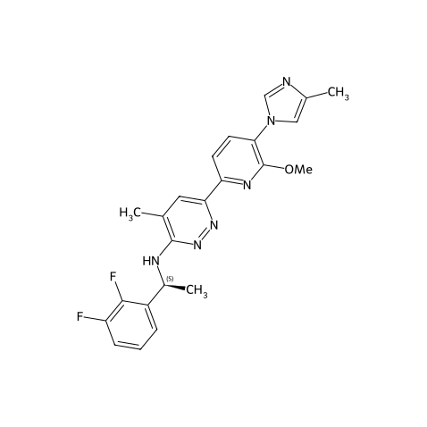 COc1nc(-c2cc(C)c(N[C@@H](C)c3cccc(F)c3F)nn2)ccc1-n1cnc(C)c1